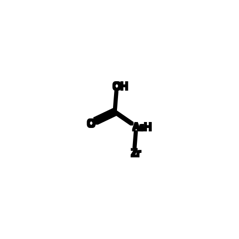 O=C(O)[AsH][Zr]